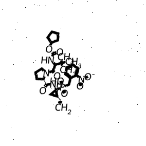 C=C[C@@H]1C[C@]1(NC(=O)[C@@H]1CCCN1C(=O)C(NC(=O)OC1CCCC1)C(C)(C)C)P(=O)(O)Cc1ccccc1[N+](=O)[O-]